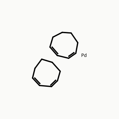 C1=CCCCCC=C1.C1=CCCCCC=C1.[Pd]